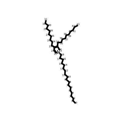 CCCCCCCCCCCCCCCCCCC[n+]1ccc(CCCCCCCCCC)c(CCCCCCCCCC)c1